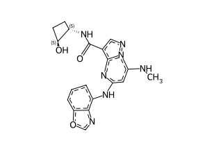 CNc1cc(Nc2cccc3ocnc23)nc2c(C(=O)N[C@H]3CC[C@@H]3O)cnn12